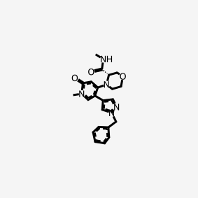 CNC(=O)[C@@H]1COCCN1c1cc(=O)n(C)cc1-c1cnn(Cc2ccccc2)c1